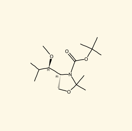 CO[C@H](C(C)C)[C@H]1COC(C)(C)N1C(=O)OC(C)(C)C